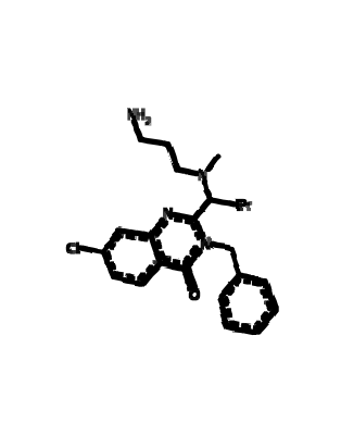 CC(C)C(c1nc2cc(Cl)ccc2c(=O)n1Cc1ccccc1)N(C)CCCN